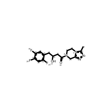 Cc1nnc2n1CCN(C(=O)CC(O)Cc1cc(F)c(F)cc1F)C2